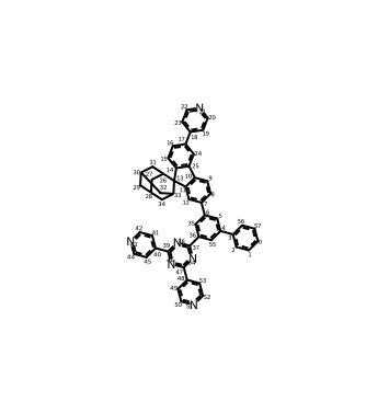 c1ccc(-c2cc(-c3ccc4c(c3)C3(c5ccc(-c6ccncc6)cc5-4)C4CC5CC(C4)CC3C5)cc(-c3nc(-c4ccncc4)nc(-c4ccncc4)n3)c2)cc1